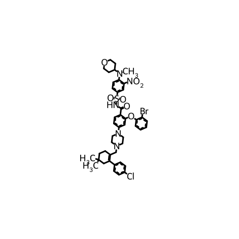 CN(c1ccc(S(=O)(=O)NC(=O)c2ccc(N3CCN(CC4=C(c5ccc(Cl)cc5)CC(C)(C)CC4)CC3)cc2Oc2ccccc2Br)cc1[N+](=O)[O-])C1CCOCC1